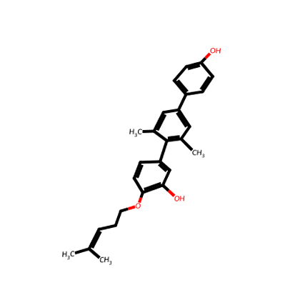 CC(C)=CCCOc1ccc(-c2c(C)cc(-c3ccc(O)cc3)cc2C)cc1O